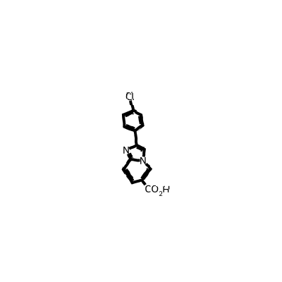 O=C(O)c1ccc2nc(-c3ccc(Cl)cc3)cn2c1